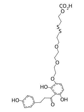 O=C(O)OCCSSCCOCCOCCOc1ccc(O)c(C(=O)CCc2ccc(O)cc2)c1O